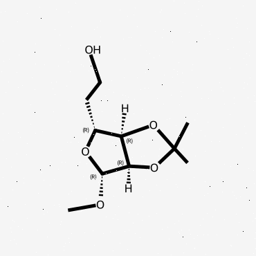 CO[C@@H]1O[C@H](CCO)[C@H]2OC(C)(C)O[C@@H]12